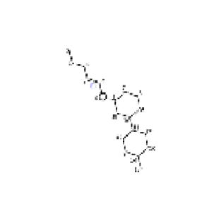 CCC/C=C/OC1CCCC(C2CCC(C)CC2)C1